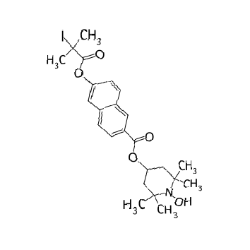 CC(C)(I)C(=O)Oc1ccc2cc(C(=O)OC3CC(C)(C)N(O)C(C)(C)C3)ccc2c1